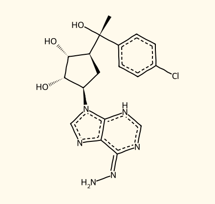 C[C@@](O)(c1ccc(Cl)cc1)[C@H]1C[C@@H](n2cnc3/c(=N\N)nc[nH]c32)[C@H](O)[C@@H]1O